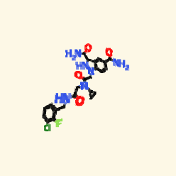 NC(=O)c1ccc2c(c1)C(C(N)=O)NN2CC(=O)N(CC(=O)NCc1cccc(Cl)c1F)C1CC1